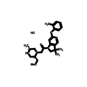 COC[C@H]1CN[C@H](C)CN1CC(=O)N1CC(C)(C)c2cnc(Oc3ccccc3C)cc21.Cl